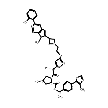 Cc1ncsc1-c1ccc([C@H](C)NC(=O)[C@@H]2C[C@@H](O)CN2C(=O)[C@@H](c2cc(OCCN3CC(c4cc5cc(-c6ccccc6O)nnc5n4C)C3)no2)C(C)C)cc1